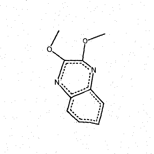 COc1nc2c[c]ccc2nc1OC